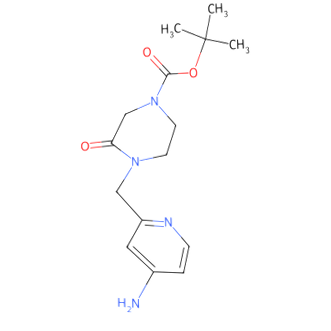 CC(C)(C)OC(=O)N1CCN(Cc2cc(N)ccn2)C(=O)C1